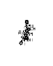 Cc1cc2c(C(=O)NCC3CCCCC3)c(O)c(O)cc2c(O)c1-c1c(C)cc2c(C(=O)NCC3CCCCC3)c(O)c(O)cc2c1O